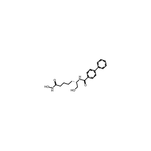 O=C(CCCC[C@@H](CO)NC(=O)c1ccc(-c2ccccc2)cc1)NO